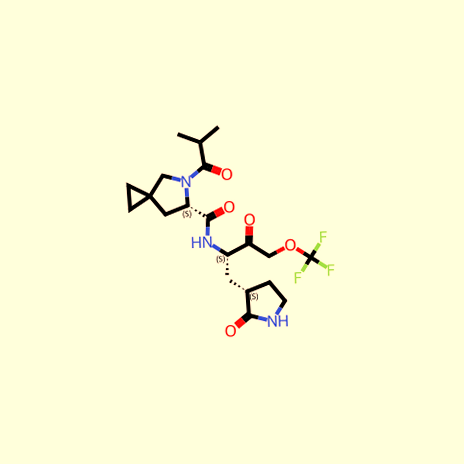 CC(C)C(=O)N1CC2(CC2)C[C@H]1C(=O)N[C@@H](C[C@@H]1CCNC1=O)C(=O)COC(F)(F)F